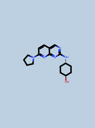 O[C@H]1CC[C@H](Nc2ncc3ccc(N4CCCC4)nc3n2)CC1